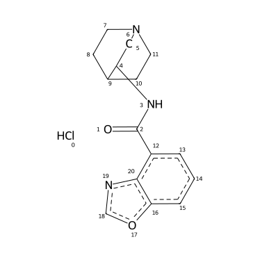 Cl.O=C(NC1CN2CCC1CC2)c1cccc2ocnc12